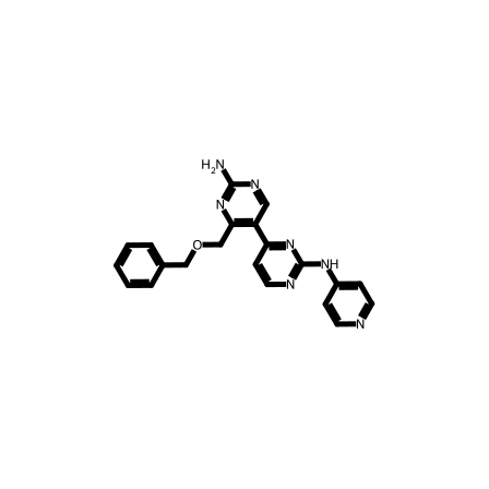 Nc1ncc(-c2ccnc(Nc3ccncc3)n2)c(COCc2ccccc2)n1